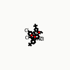 Cl.Cl.[CH2]=[Zr]([C]1=CC(C(C)(C)C)=CC1CCC)([c]1cccc(Cl)c1)([c]1cccc(Cl)c1)[c]1c(C(C)(C)C)ccc2c1Cc1cc(C(C)(C)C)ccc1-2